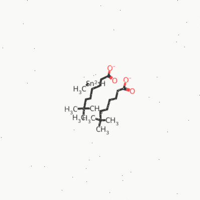 CC(C)(C)CCCCCC(=O)[O-].CC(C)(C)CCCCCC(=O)[O-].[CH3][SnH+2]